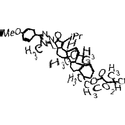 COC1=CCC(c2nnc(C[C@@]34CC[C@]5(C)[C@H](CCC6[C@@]7(C)CC[C@H](OC(=O)CC(C)(C)C(=O)O)C(C)(C)C7CC[C@]65C)C3=C(C(C)C)C(=O)C4)n2C)C=C1